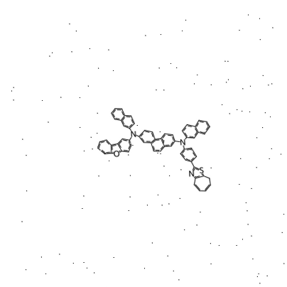 C1=CCc2sc(-c3ccc(N(c4ccc5ccccc5c4)c4ccc5c(ccc6cc(N(c7ccc8ccccc8c7)c7ccc8oc9ccccc9c8c7)ccc65)c4)cc3)nc2C=C1